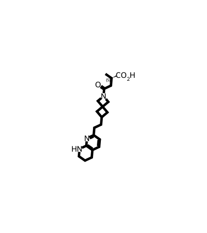 C[C@@H](CC(=O)N1CC2(CC(CCc3ccc4c(n3)NCCC4)C2)C1)C(=O)O